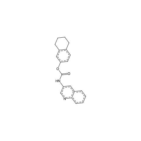 O=C(Nc1cnc2ccccc2c1)Oc1ccc2c(c1)CCCC2